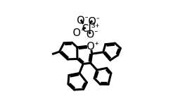 Cc1ccc2[o+]c(-c3ccccc3)c(-c3ccccc3)c(-c3ccccc3)c2c1.[O-][Cl+3]([O-])([O-])[O-]